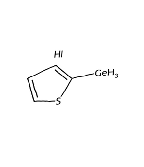 I.[GeH3][c]1cccs1